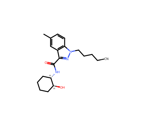 Cc1ccc2c(c1)c(C(=O)N[C@H]1CCCC[C@@H]1O)nn2CCCCC#N